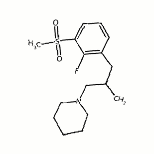 CC(Cc1cccc(S(C)(=O)=O)c1F)CN1CCCCC1